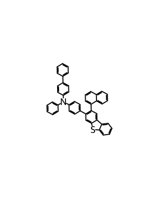 c1ccc(-c2ccc(N(c3ccccc3)c3ccc(-c4cc5sc6ccccc6c5cc4-c4cccc5ccccc45)cc3)cc2)cc1